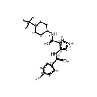 CC(C)(C)C1CCC(NC(=O)c2n[nH]cc2NC(=O)c2ccc(F)cc2)CC1